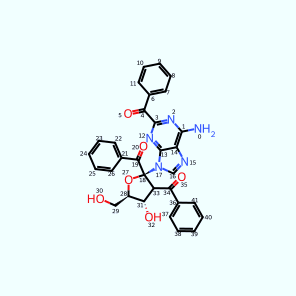 Nc1nc(C(=O)c2ccccc2)nc2c1ncn2[C@]1(C(=O)c2ccccc2)O[C@H](CO)[C@@H](O)C1C(=O)c1ccccc1